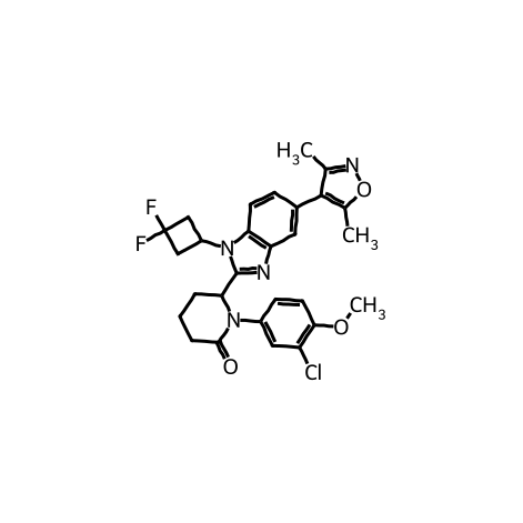 COc1ccc(N2C(=O)CCCC2c2nc3cc(-c4c(C)noc4C)ccc3n2C2CC(F)(F)C2)cc1Cl